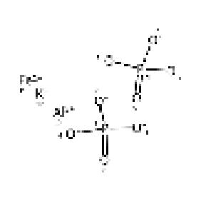 O=P([O-])([O-])[O-].O=P([O-])([O-])[O-].[Al+3].[Fe+2].[K+]